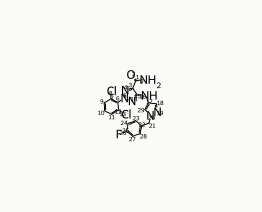 NC(=O)c1nn(-c2c(Cl)cccc2Cl)nc1Nc1cnn(Cc2ccc(F)cc2)c1